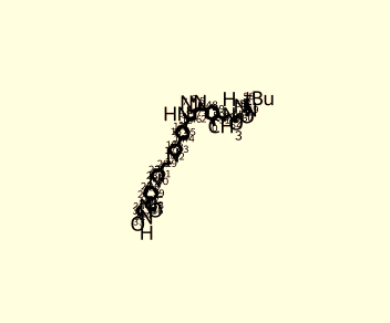 Cc1cc(-c2ncnc3[nH]c(-c4ccc(C5CCN(CCC6CCN(c7ccc(N8CCC(=O)NC8=O)c(F)c7)CC6)CC5)cc4)cc23)ccc1CNC(=O)c1nc(C(C)(C)C)no1